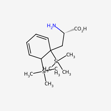 C[Si](C)(C)C1C=CC=CC1(C[C@H](N)C(=O)O)[Si](C)(C)C